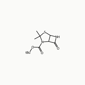 CC(C)(C)OC(=O)N1C2C(=O)NC2SC1(C)C